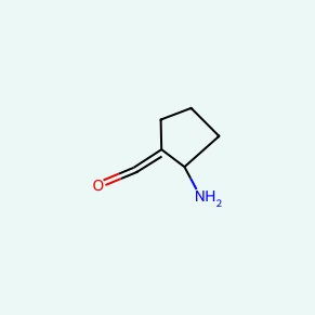 NC1CCCC1=C=O